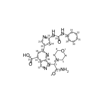 NC(=O)C(N1CCOCC1)n1ncc2c(C(=O)O)cc(-c3cnc(NC(=O)Nc4ccccc4)s3)nc21